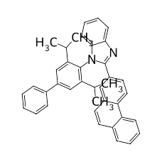 CC(C)c1cc(-c2ccccc2)cc(C(C)C)c1-n1c(-c2ccc3c(ccc4ccccc43)c2)nc2ccccc21